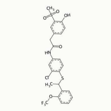 CC(Sc1ccc(NC(=O)Cc2ccc(O)c(S(C)(=O)=O)c2)cc1Cl)c1ccccc1OC(F)(F)F